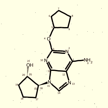 Nc1nc(OC2CCCC2)nc2c1ncn2[C@H]1CCC[C@@H]1O